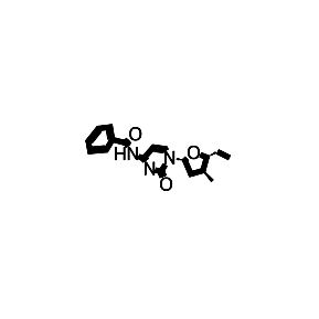 CC[C@H]1O[C@@H](n2ccc(NC(=O)c3ccccc3)nc2=O)C[C@@H]1C